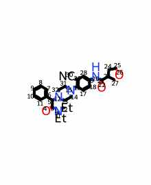 CCN(CC)C(=O)C(c1ccccc1)N1CCN(c2ccc(NC(=O)C3CCOC3)cc2C#N)CC1